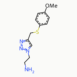 COc1ccc(SCc2cn(CCN)nn2)cc1